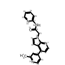 Cc1cc(-c2ccnc3c2ccn3CC(=O)Nc2ccccn2)ccn1